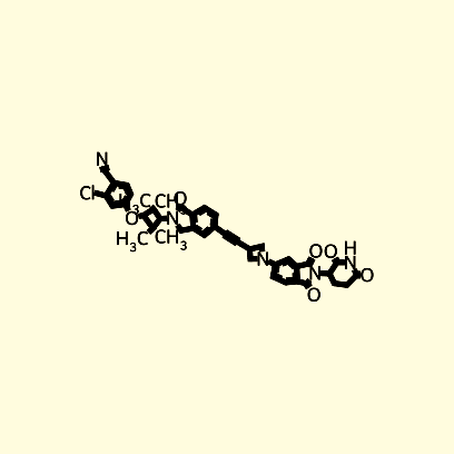 CC1(C)C(Oc2ccc(C#N)c(Cl)c2)C(C)(C)C1N1Cc2cc(C#CC3CN(c4ccc5c(c4)C(=O)N(C4CCC(=O)NC4=O)C5=O)C3)ccc2C1=O